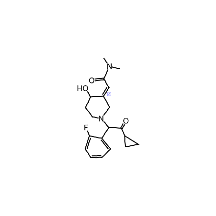 CN(C)C(=O)/C=C1/CN(C(C(=O)C2CC2)c2ccccc2F)CCC1O